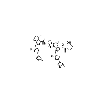 Cn1cc(-c2ccc(Cn3cc(C(=O)NC4CCCCC4(C)O)c4c(F)cccc43)c(F)c2)cn1.Cn1cc(-c2ccc(Cn3cc(C(=O)N[C@H]4CCC[C@H]4O)c4c(F)cccc43)c(F)c2)cn1